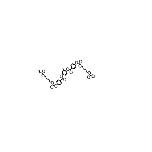 C=CC(=O)OCCCCOC(=O)Oc1ccc(C(=O)Oc2ccc(OC(=O)c3ccc(OC(=O)OCCCCOC(=O)CC)cc3)c(C)c2)cc1